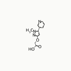 Cn1nc(OCC(=O)O)cc1-c1cccnc1